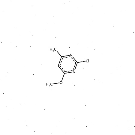 COc1cc(C)nc(Cl)n1